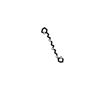 C(COCCCOC1CCCCO1)COCCCC1CCCCO1